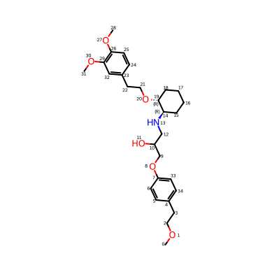 COCCc1ccc(OCC(O)CN[C@@H]2CCCC[C@H]2OCCc2ccc(OC)c(OC)c2)cc1